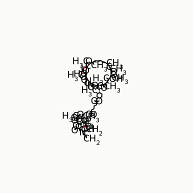 C=CCN(/C=C1/C(=O)O[C@H](COC)[C@@]2(C)C1=C(O)C(=O)C1=C2[C@H](OC(C)=O)C[C@@]2(C)C1CC[C@@H]2OC(=O)CCCCC(=O)O[C@H]1CC[C@H](C[C@@H](C)[C@@H]2CC(=O)C(C)/C=C(\C)[C@@H](O)[C@@H](OC)C(=O)[C@H](C)C[C@H](C)/C=C/C=C/C=C(\C)[C@@H](OC)C[C@@H]3CC[C@@H](C)[C@@](O)(O3)C(=O)C(=O)N3CC=CC[C@H]3C(=O)O2)CC1)CC=C